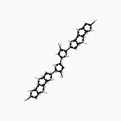 Fc1cc2sc3c4sc(-c5sc(-c6cc(F)c(-c7cc8sc9c%10sc(F)cc%10sc9c8s7)s6)cc5F)cc4sc3c2s1